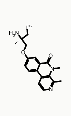 Cc1nccc2c3ccc(OC[C@@](C)(N)CC(C)C)cc3c(=O)n(C)c12